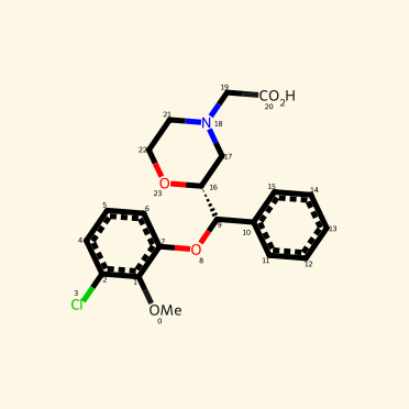 COc1c(Cl)cccc1OC(c1ccccc1)[C@H]1CN(CC(=O)O)CCO1